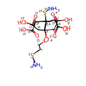 NSCCOC(CC(=O)O)(CC(=O)O)C(CC(=O)O)(CC(=O)O)SN